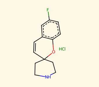 Cl.Fc1ccc2c(c1)C=CC1(CCNCC1)O2